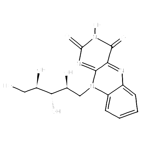 Cn1c(=O)nc2n(C[C@H](O)[C@H](O)[C@H](O)CO)c3ccccc3nc-2c1=O